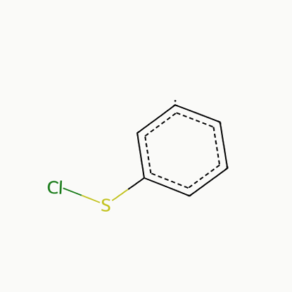 ClSc1c[c]ccc1